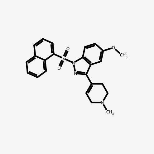 COc1ccc2c(c1)c(C1=CCN(C)CC1)nn2S(=O)(=O)c1cccc2ccccc12